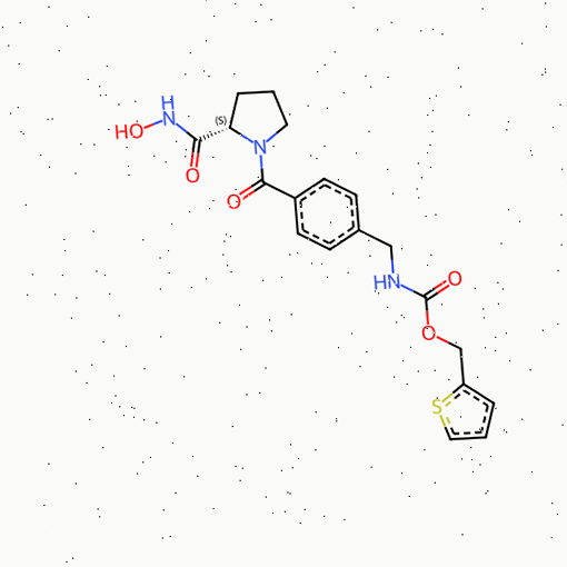 O=C(NCc1ccc(C(=O)N2CCC[C@H]2C(=O)NO)cc1)OCc1cccs1